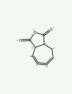 O=C1OC(=O)C2CC=C=C=CC12